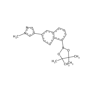 Cn1cc(-c2ccc3c(B4OC(C)(C)C(C)(C)O4)cccc3c2)cn1